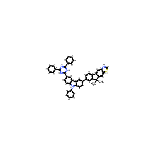 CC1(C)c2cc(-c3ccc4c(c3)c3cc(-c5nc(-c6ccccc6)nc(-c6ccccc6)n5)ccc3n4-c3ccccc3)ccc2-c2cc3ncsc3cc21